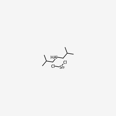 CC(C)[CH2][AlH][CH2]C(C)C.[Cl][Sn][Cl]